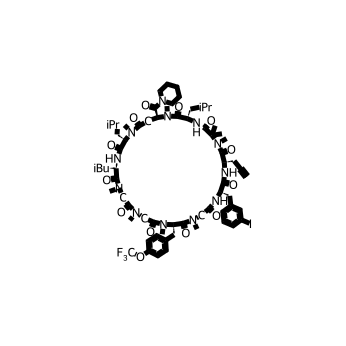 C#CC[C@@H]1NC(=O)[C@H](Cc2cccc(I)c2)NC(=O)CN(C)C(=O)[C@H](Cc2ccc(OC(F)(F)F)cc2)N(C)C(=O)CN(C)C(=O)CN(C)C(=O)[C@H]([C@@H](C)CC)NC(=O)[C@H](CC(C)C)N(C)C(=O)C[C@@H](C(=O)N2CCCCC2)N(C)C(=O)[C@H](CC(C)C)NC(=O)C(C)(C)N(C)C1=O